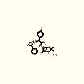 CC1(C)S[C@@H]2[C@H](NC(=O)C(N)c3ccc(O)cc3)C(=O)N2[C@H]1C(=O)O.COC(=O)c1ccccc1